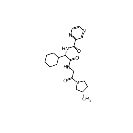 C[C@H]1CCN(C(=O)CNC(=O)[C@@H](NC(=O)c2cnccn2)C2CCCCC2)C1